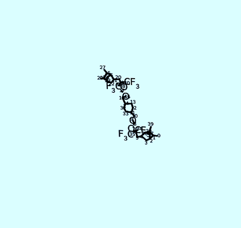 CC1C2CC(CC(OCOCC3CCC(COCOC(CC4CC5CC4C(C)C5C)(C(F)(F)F)C(F)(F)F)CC3)(C(F)(F)F)C(F)(F)F)C(C2)C1C